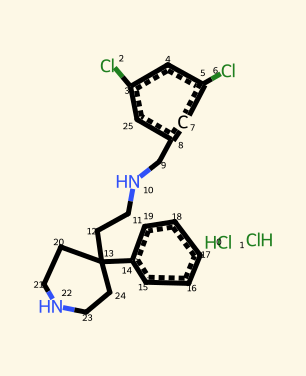 Cl.Cl.Clc1cc(Cl)cc(CNCCC2(c3ccccc3)CCNCC2)c1